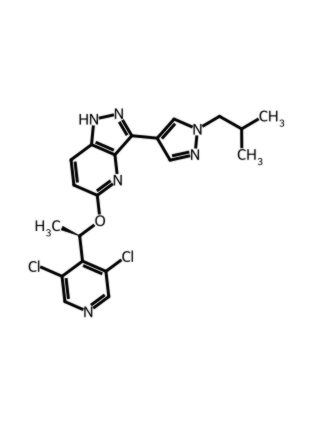 CC(C)Cn1cc(-c2n[nH]c3ccc(O[C@H](C)c4c(Cl)cncc4Cl)nc23)cn1